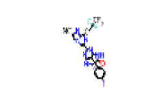 CC1(c2ccc(I)cc2)C(=O)Nc2nc(-c3cn4cc(C#N)nc4c(CCC(F)(F)C(F)(F)F)n3)nc(N)c21